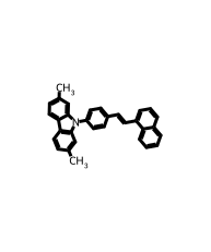 Cc1ccc2c3ccc(C)cc3n(-c3ccc(/C=C/c4cccc5ccccc45)cc3)c2c1